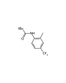 Cc1cc(C(F)(F)F)ccc1NC(=O)C(C)(C)C